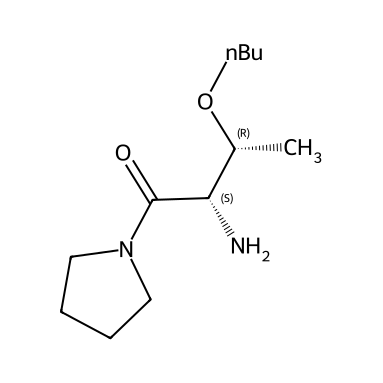 CCCCO[C@H](C)[C@H](N)C(=O)N1CCCC1